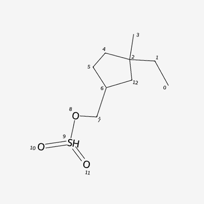 CCC1(C)CCC([CH]O[SH](=O)=O)C1